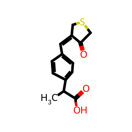 CC(C(=O)O)c1ccc(/C=C2/CSCC2=O)cc1